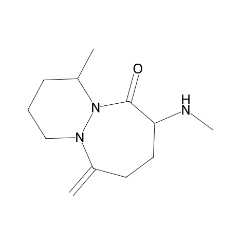 C=C1CCC(NC)C(=O)N2C(C)CCCN12